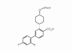 CCCCCO[C@H]1CC[C@H](c2cc(-c3ccc(F)cc3F)ccc2C(=O)O)CC1